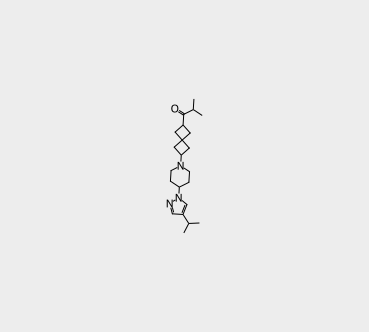 CC(C)C(=O)C1CC2(C1)CC(N1CCC(n3cc(C(C)C)cn3)CC1)C2